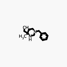 CCC1(C)CCN(Cc2ccccc2)CN1